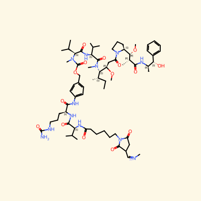 CC[C@H](C)[C@@H]([C@@H](CC(=O)N1CCC[C@H]1[C@H](OC)[C@@H](C)C(=O)N[C@H](C)[C@@H](O)c1ccccc1)OC)N(C)C(=O)[C@@H](NC(=O)[C@H](C(C)C)N(C)C(=O)OCc1ccc(NC(=O)[C@H](CCCNC(N)=O)NC(=O)[C@@H](NC(=O)CCCCCN2C(=O)CC(/C=N\C)C2=O)C(C)C)cc1)C(C)C